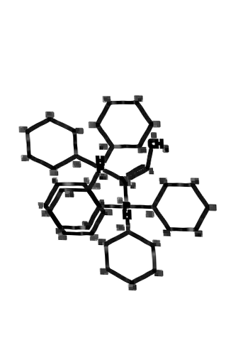 C[CH]=[Ni]([PH](C1CCCCC1)(C1CCCCC1)C1CCCCC1)[PH](C1CCCCC1)(C1CCCCC1)C1CCCCC1